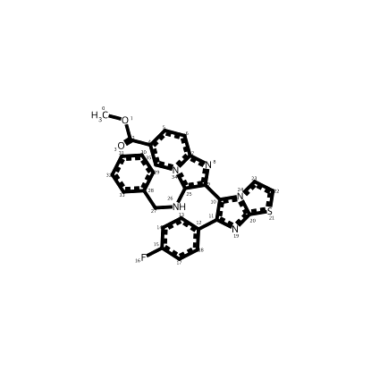 COC(=O)c1ccc2nc(-c3c(-c4ccc(F)cc4)nc4sccn34)c(NCc3ccccc3)n2c1